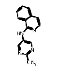 Cc1ncc(Nc2nccc3ccccc23)cn1